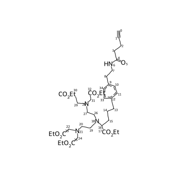 C#CCCC(=O)NCCc1ccc(CCCC(C(=O)OCC)N(CCN(CC(=O)OCC)CC(=O)OCC)CCN(CC(=O)OCC)CC(=O)OCC)cc1